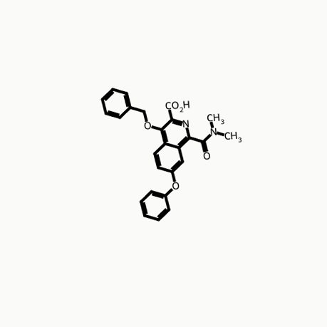 CN(C)C(=O)c1nc(C(=O)O)c(OCc2ccccc2)c2ccc(Oc3ccccc3)cc12